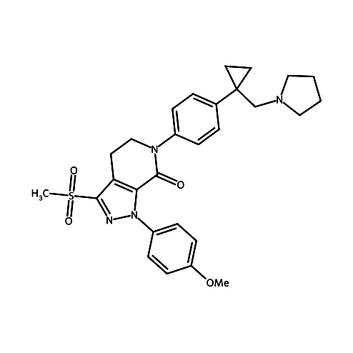 COc1ccc(-n2nc(S(C)(=O)=O)c3c2C(=O)N(c2ccc(C4(CN5CCCC5)CC4)cc2)CC3)cc1